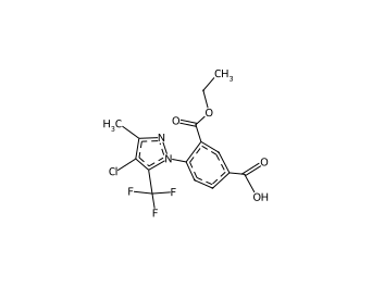 CCOC(=O)c1cc(C(=O)O)ccc1-n1nc(C)c(Cl)c1C(F)(F)F